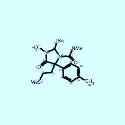 CNC(=O)N1C(C(C)(C)C)N(C)C(=O)C1(CCSC)c1ccc(C)cc1